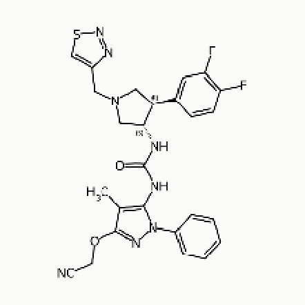 Cc1c(OCC#N)nn(-c2ccccc2)c1NC(=O)N[C@@H]1CN(Cc2csnn2)C[C@H]1c1ccc(F)c(F)c1